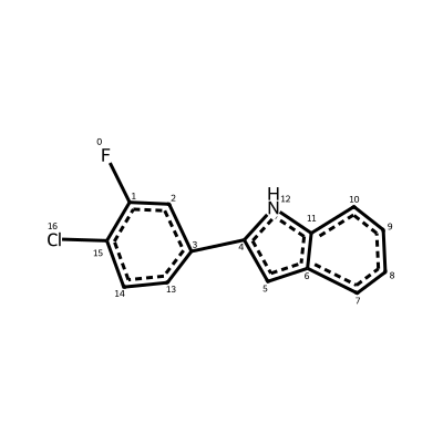 Fc1cc(-c2cc3ccccc3[nH]2)ccc1Cl